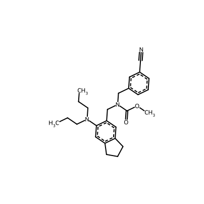 CCCN(CCC)c1cc2c(cc1CN(Cc1cccc(C#N)c1)C(=O)OC)CCC2